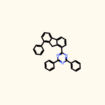 c1ccc(-c2nc(-c3ccccc3)nc(-c3cccc4c3Cc3c(-c5ccccc5)cccc3-4)n2)cc1